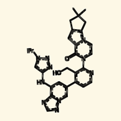 CC(C)n1cc(Nc2cc(-c3ccnc(-n4ccn5c6c(cc5c4=O)CC(C)(C)C6)c3CO)cn3ncnc23)nn1